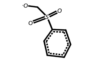 [O]CS(=O)(=O)c1ccccc1